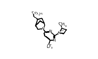 C[C@H]1CCN1c1nc(N2CC3CC2CC3CC(=O)O)cc(C(F)(F)F)n1